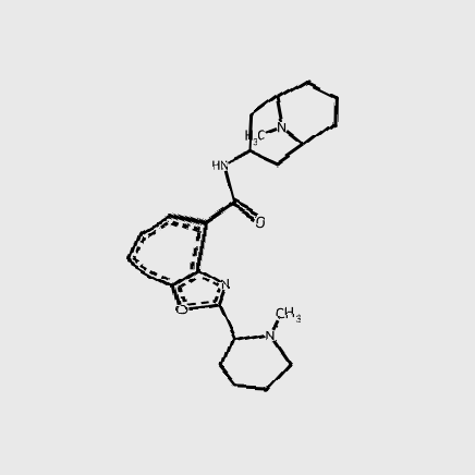 CN1CCCCC1c1nc2c(C(=O)NC3CC4CCCC(C3)N4C)cccc2o1